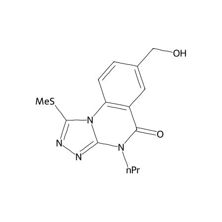 CCCn1c(=O)c2cc(CO)ccc2n2c(SC)nnc12